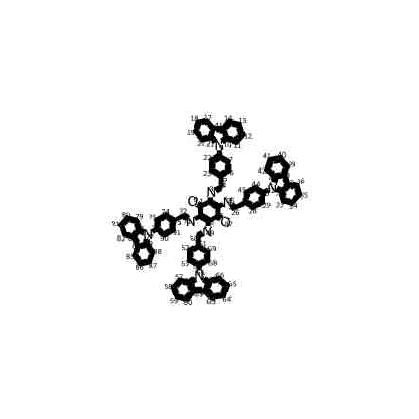 O=C1C(N=Cc2ccc(-n3c4ccccc4c4ccccc43)cc2)=C(N=Cc2ccc(-n3c4ccccc4c4ccccc43)cc2)C(=O)C(N=Cc2ccc(-n3c4ccccc4c4ccccc43)cc2)=C1N=Cc1ccc(-n2c3ccccc3c3ccccc32)cc1